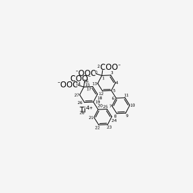 O=C([O-])C1(C(=O)[O-])C=CC(c2ccccc2)=CC1.O=C([O-])C1(C(=O)[O-])C=CC(c2ccccc2)=CC1.[Ti+4]